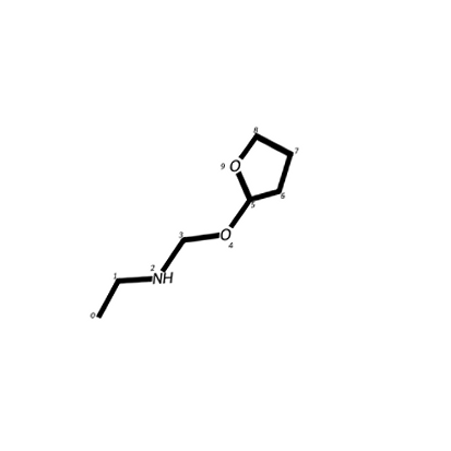 CCNCOC1CCCO1